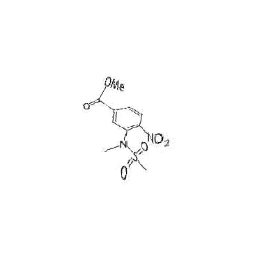 COC(=O)c1ccc([N+](=O)[O-])c(N(C)S(C)(=O)=O)c1